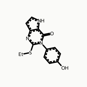 CCSc1nc2cc[nH]c2c(=O)n1-c1ccc(O)cc1